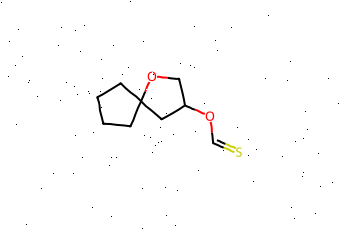 S=COC1COC2(CCCC2)C1